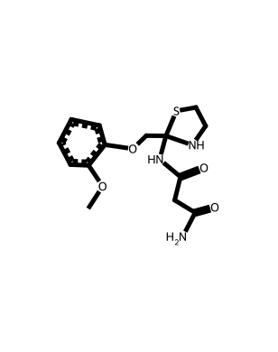 COc1ccccc1OCC1(NC(=O)CC(N)=O)NCCS1